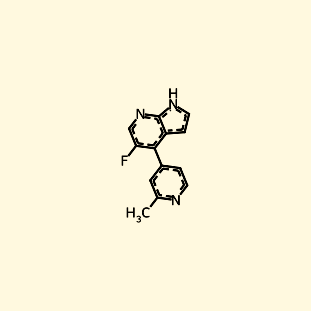 Cc1cc(-c2c(F)cnc3[nH]ccc23)ccn1